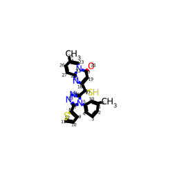 Cc1cccc(-n2c(-c3cccs3)nnc2C(S)c2cc(=O)n3cc(C)ccc3n2)c1